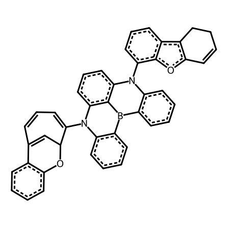 C1=CC2=CC(Oc3ccccc32)C(N2c3ccccc3B3c4ccccc4N(c4cccc5c6c(oc45)C=CCC6)c4cccc2c43)=C1